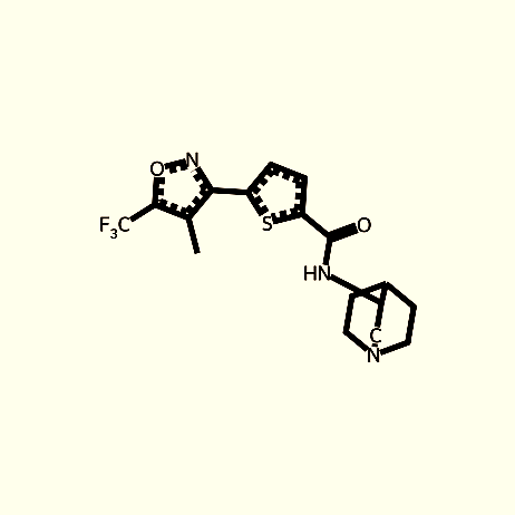 Cc1c(-c2ccc(C(=O)NC3CN4CCC3CC4)s2)noc1C(F)(F)F